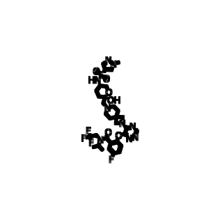 CC(C)N(CC(F)(F)F)C(=O)c1cc(F)ccc1Oc1nncnc1N1CC2(CCN(C[C@@]3(O)CC[C@@H](NS(=O)(=O)c4cnn(C)c4)CO3)CC2)C1